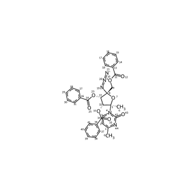 Cc1ccn([C@]2(C)O[C@@](COC(=O)c3ccccc3)(N=[N+]=[N-])[C@@H](OC(=O)c3ccccc3)[C@H]2OC(=O)c2ccccc2)c(=O)n1